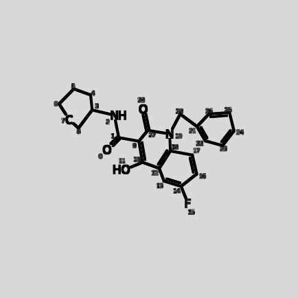 O=C(NC1CCCCC1)c1c(O)c2cc(F)ccc2n(Cc2ccccc2)c1=O